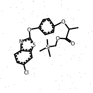 CC(Oc1ccc(Oc2nc3ccc(Cl)cc3s2)cc1)C(=O)OC[Si](C)(C)C